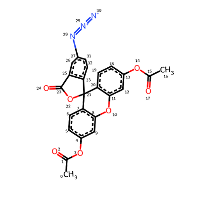 CC(=O)Oc1ccc2c(c1)Oc1cc(OC(C)=O)ccc1C21OC(=O)c2cc(N=[N+]=[N-])ccc21